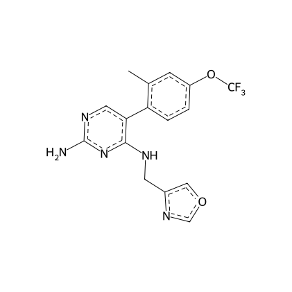 Cc1cc(OC(F)(F)F)ccc1-c1cnc(N)nc1NCc1cocn1